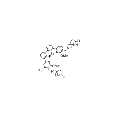 COc1nc(-c2cccc(-c3cccc(-c4cc(C)c(CN5CC6(CCC(=O)N6)C5)c(OC)n4)c3F)c2Cl)cnc1CN1CC2(CCC(=O)N2)C1